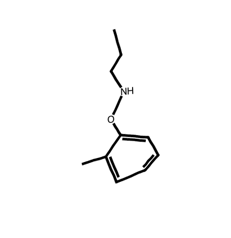 CCCNOc1ccccc1C